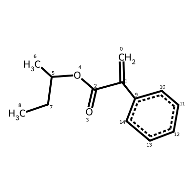 C=C(C(=O)OC(C)CC)c1ccccc1